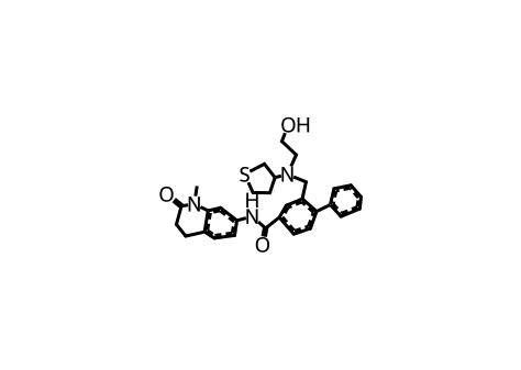 CN1C(=O)CCc2ccc(NC(=O)c3ccc(-c4ccccc4)c(CN(CCO)C4CCSC4)c3)cc21